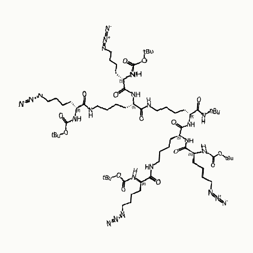 CCCCNC(=O)[C@@H](CCCCNC(=O)[C@H](CCCCNC(=O)[C@@H](CCCCN=[N+]=[N-])NC(=O)OC(C)(C)C)NC(=O)[C@H](CCCCN=[N+]=[N-])NC(=O)OC(C)(C)C)NC(=O)[C@H](CCCCNC(=O)[C@@H](CCCCN=[N+]=[N-])NC(=O)OC(C)(C)C)NC(=O)[C@H](CCCCN=[N+]=[N-])NC(=O)OC(C)(C)C